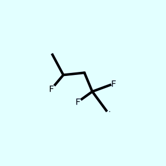 [CH2]C(F)(F)CC(C)F